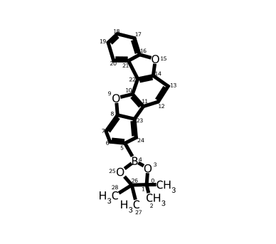 CC1(C)OB(c2ccc3oc4c(ccc5oc6ccccc6c54)c3c2)OC1(C)C